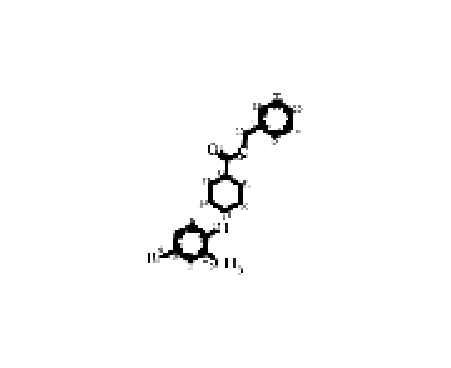 Cc1cc(Br)ccc1O[C@H]1CC[C@H](C(=O)OCc2ccccc2)CC1